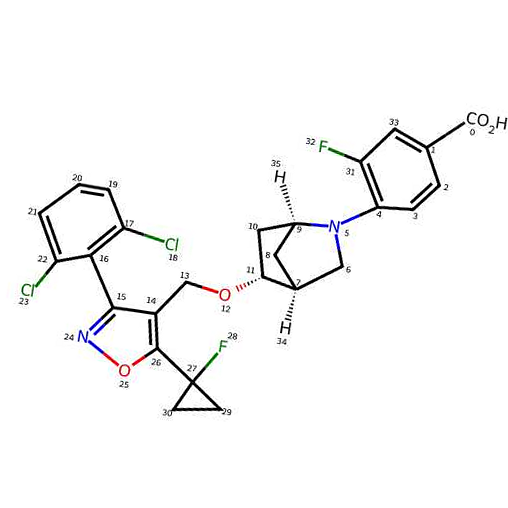 O=C(O)c1ccc(N2C[C@@H]3C[C@H]2C[C@H]3OCc2c(-c3c(Cl)cccc3Cl)noc2C2(F)CC2)c(F)c1